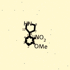 COc1cccc(C2CCNCC2)c1[N+](=O)[O-]